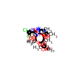 CC[C@H]1OC(=O)[C@H](C)[C@@H](O[C@H]2C[C@@](C)(OC)[C@@H](O)[C@H](C)O2)[C@H](C)[C@@H](O[C@@H]2O[C@H](C)C[C@H](N(C)CCc3cn(C[C@H]4CC(c5cc(Cl)cc(Cl)c5)=NO4)nn3)[C@H]2O)[C@](C)(O)C[C@@H](C)CN(C)[C@H](C)[C@@H](O)[C@]1(C)O